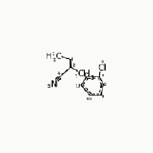 CCC(C)C#N.Clc1ccccc1